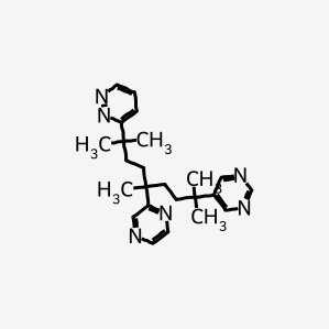 CC(C)(CCC(C)(CCC(C)(C)c1cccnn1)c1cnccn1)c1cncnc1